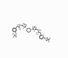 O=C(Cc1cccc(OC(F)(F)F)c1)Nc1nnc([C@H]2CCC[C@H](c3nnc(NC(=O)Cc4cccc(N5CC(F)(F)C5)n4)s3)C2)s1